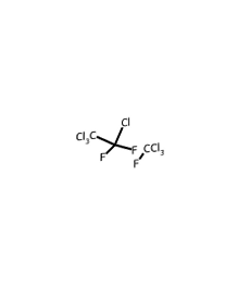 FC(Cl)(Cl)Cl.FC(F)(Cl)C(Cl)(Cl)Cl